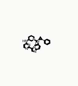 O=C([C@H]1C[C@H]1c1ccccc1)N1CCCC(Nc2ccnc(-c3cnc4ccc(F)cn34)n2)C1